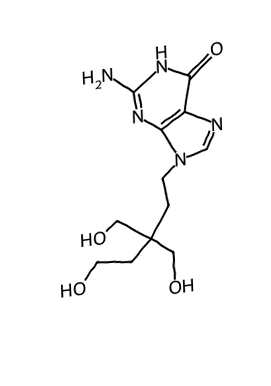 Nc1nc2c(ncn2CCC(CO)(CO)CCO)c(=O)[nH]1